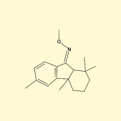 CON=C1c2ccc(C)cc2C2(C)CCCC(C)(C)C12